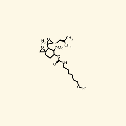 COC1C(OC(=O)NCCCCCCOC(C)C)CC[C@]2(CO2)C1[C@@]1(C)O[C@@H]1CC=C(C)C